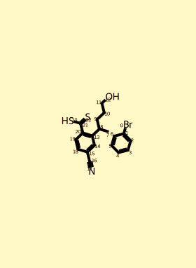 Brc1ccccc1.CC(CCCO)c1cc(C#N)ccc1C(=S)S